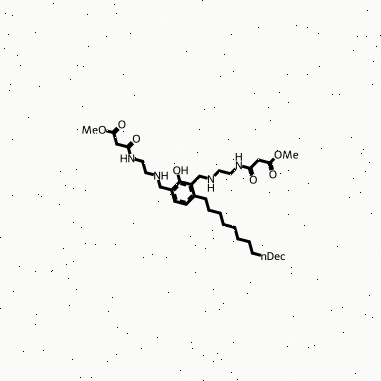 CCCCCCCCCCCCCCCCCCc1ccc(CNCCNC(=O)CC(=O)OC)c(O)c1CNCCNC(=O)CC(=O)OC